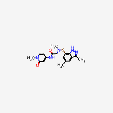 Cc1cc(SN(C)CC(=O)Nc2ccn(C)c(=O)c2)c2[nH]nc(C)c2c1